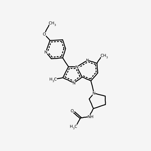 COc1ccc(-c2c(C)nc3c(N4CCC(NC(C)=O)C4)cc(C)nn23)cn1